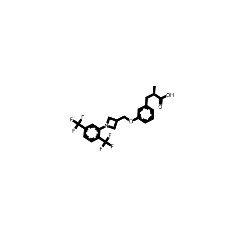 CC(Cc1cccc(OCC2CN(c3cc(C(F)(F)F)ccc3C(F)(F)F)C2)c1)C(=O)O